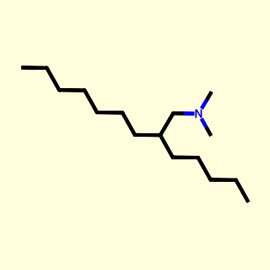 CCCCCCCC(CCCCC)CN(C)C